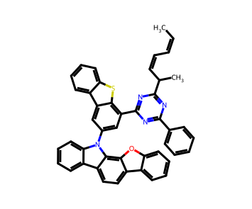 C/C=C\C=C/C(C)c1nc(-c2ccccc2)nc(-c2cc(-n3c4ccccc4c4ccc5c6ccccc6oc5c43)cc3c2sc2ccccc23)n1